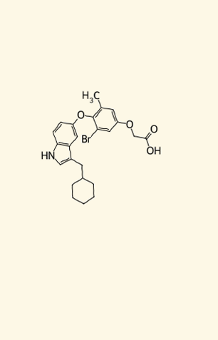 Cc1cc(OCC(=O)O)cc(Br)c1Oc1ccc2[nH]cc(CC3CCCCC3)c2c1